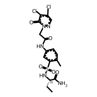 CC[C@H](NS(=O)(=O)c1cc(NC(=O)Cn2ncc(Cl)c(Cl)c2=O)ccc1C)C(N)=O